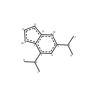 CC(C)c1cc(C(C)C)c2sccc2n1